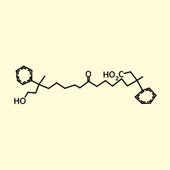 CC(CCO)(CCCCCC(=O)CCCCCC(C)(CC(=O)O)c1ccccc1)c1ccccc1